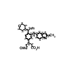 CCCN(c1ccc([C@H](COC)CC(=O)O)cc1Nc1ccc2nc(C)sc2c1)C1CCOCC1